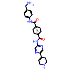 NCc1ccc(NC(=O)C23CCC(C(=O)Nc4cnc(C5=CCNCC5)cn4)(CC2)CC3)cc1